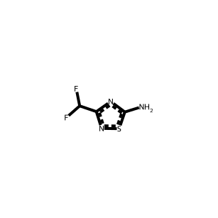 Nc1nc(C(F)F)ns1